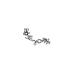 CC[C@@H](COCCC(=O)N1CCN(c2ncc(C(F)(F)F)s2)CC1)Nc1cn[nH]c(=O)c1C